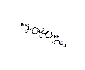 CC(C)(C)OC(=O)N1CCN(S(=O)(=O)c2ccc(NC(=O)/C=C/Cl)cc2)CC1